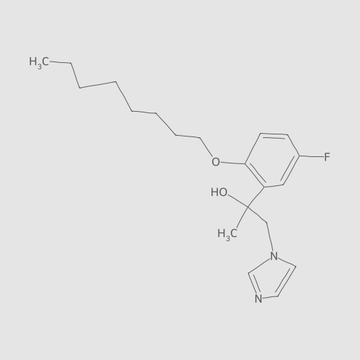 CCCCCCCCOc1ccc(F)cc1C(C)(O)Cn1ccnc1